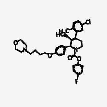 C#CC1=C(c2cc(Cl)ccc2C)CCN(C(=O)Oc2ccc(F)cc2)C1c1ccc(OCCCCN2CCOCC2)cc1